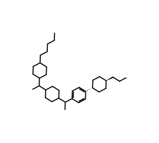 CCCCCC1CCC(C(C)C2CCC(C(C)c3ccc([C@H]4CC[C@H](CCC)CC4)cc3)CC2)CC1